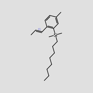 C/C=C/c1ccc(C)cc1[Si](C)(C)CCCCCCCC